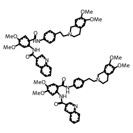 COc1cc2c(cc1OC)CN(CCc1ccc(NC(=O)c3cc(OC)c(OC)cc3NC(=O)c3cnc4ccccc4c3)cc1)CC2.COc1cc2c(cc1OC)CN(CCc1ccc(NC(=O)c3cc(OC)c(OC)cc3NC(=O)c3cnc4ccccc4c3)cc1)CC2